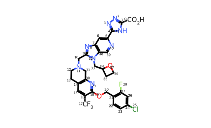 O=C(O)c1nnc(-c2cc3nc(CN4CCc5cc(C(F)(F)F)c(OCc6ccc(Cl)cc6F)nc5C4)n(CC4CCO4)c3cn2)[nH]1